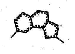 Cc1ccc2ccc3[nH]c(C)cc3c2c1